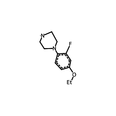 CCOc1ccc(N2CC[N]CC2)c(F)c1